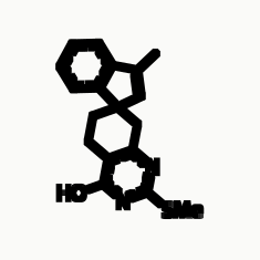 CSc1nc(O)c2c(n1)CC1(C=C(C)c3ccccc31)CC2